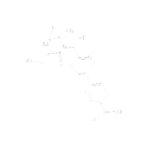 CC(C)C[C@H](N)C(=O)N([C@@H](c1ccc(-c2ccc(C(C)O)cc2)cn1)C(F)(F)F)C1(C#N)CC1